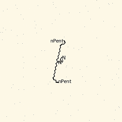 CCCCC/C=C\C/C=C\CCCCCCCCC(CCCCCCCC/C=C\C/C=C\CCCCC)=NN(C)CCN(C)C